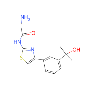 CC(C)(O)c1cccc(-c2csc(NC(=O)CN)n2)c1